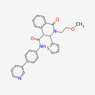 COCCN1C(=O)c2ccccc2C(C(=O)Nc2ccc(-c3cccnc3)cc2)C1c1cccs1